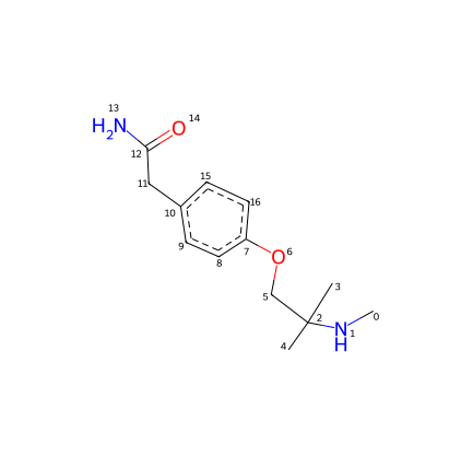 CNC(C)(C)COc1ccc(CC(N)=O)cc1